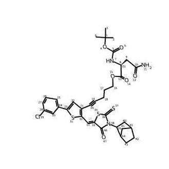 CC(C)(C)OC(=O)N[C@@H](CC(N)=O)C(=O)OCCCC#Cc1cc(-c2cccc(Cl)c2)sc1/C=C1\SC(=S)N(C2CC3CCC2C3)C1=O